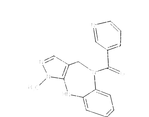 Cn1ncc2c1Nc1ccccc1N(C(=O)c1cccnc1)C2